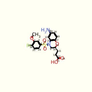 COc1cc(S(=O)(=O)N2C[C@H](CCC(=O)O)Oc3ccc(N)cc32)ccc1F